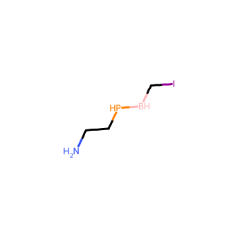 NCCPBCI